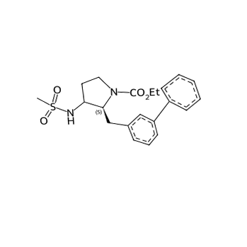 CCOC(=O)N1CCC(NS(C)(=O)=O)[C@@H]1Cc1cccc(-c2ccccc2)c1